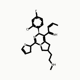 C/C=C\C(=N)C1=C2CC(CCNC)CN2C(C2CC=CS2)=N[C@H]1c1ccc(F)cc1Cl